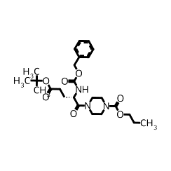 CCCOC(=O)N1CCN(C(=O)[C@H](CCC(=O)OC(C)(C)C)NC(=O)OCc2ccccc2)CC1